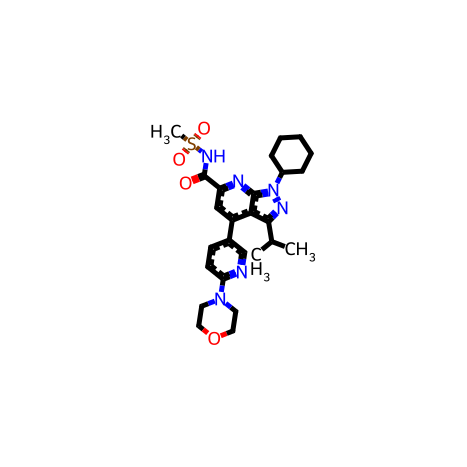 CC(C)c1nn(C2CCCCC2)c2nc(C(=O)NS(C)(=O)=O)cc(-c3ccc(N4CCOCC4)nc3)c12